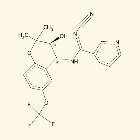 CC1(C)Oc2ccc(OC(F)(F)F)cc2[C@@H](NC(=NC#N)c2cccnc2)[C@@H]1O